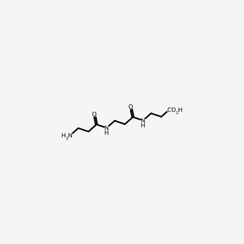 NCCC(=O)NCCC(=O)NCCC(=O)O